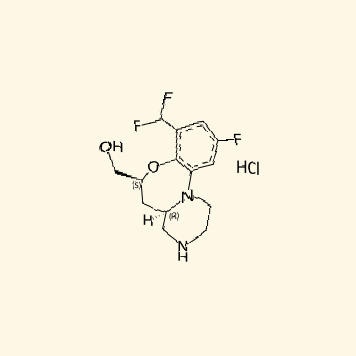 Cl.OC[C@@H]1C[C@@H]2CNCCN2c2cc(F)cc(C(F)F)c2O1